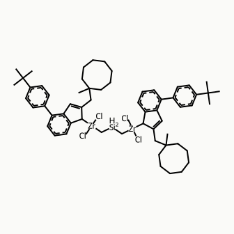 CC1(CC2=Cc3c(-c4ccc(C(C)(C)C)cc4)cccc3[CH]2[Zr]([Cl])([Cl])[CH2][SiH2][CH2][Zr]([Cl])([Cl])[CH]2C(CC3(C)CCCCCCC3)=Cc3c(-c4ccc(C(C)(C)C)cc4)cccc32)CCCCCCC1